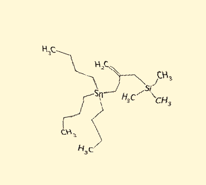 C=C(C[Si](C)(C)C)[CH2][Sn]([CH2]CCC)([CH2]CCC)[CH2]CCC